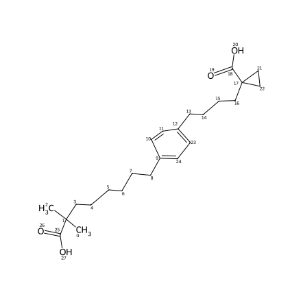 CC(C)(CCCCCCc1ccc(CCCCC2(C(=O)O)CC2)cc1)C(=O)O